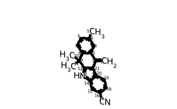 C=C1c2cc(C)ccc2C(C)(C)c2[nH]c3cc(C#N)ccc3c21